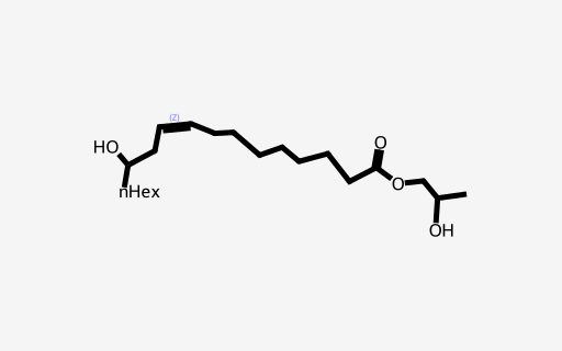 CCCCCCC(O)C/C=C\CCCCCCCC(=O)OCC(C)O